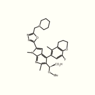 Cc1nc2c(cc(-c3nnc(CN4CCCCC4)o3)n2C)c(-c2cc(F)c3c(c2C)CCCO3)c1[C@H](OC(C)(C)C)C(=O)O